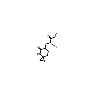 COC(=O)[C@@H](N)CC1CCC2(CC2)NC1=O